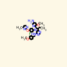 CCc1c(-c2ncc(N)cc2OC)n(-c2ccc(Oc3nccc(C)n3)c(F)c2)c2c(NCc3ccc(OC)cc3)ncnc12